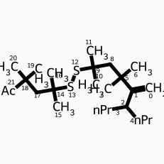 C=C(C(CCC)CCC)C(C)(C)CC(C)(C)SSC(C)(C)CC(C)(C)C(C)=O